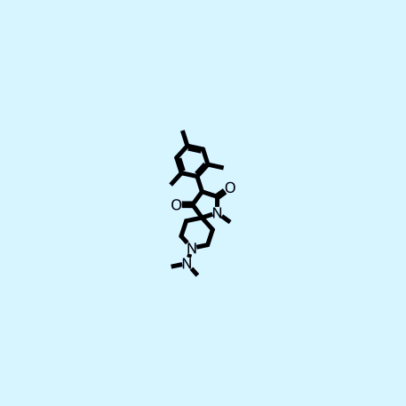 Cc1cc(C)c(C2C(=O)N(C)C3(CCN(N(C)C)CC3)C2=O)c(C)c1